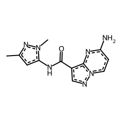 Cc1cc(NC(=O)c2cnn3ccc(N)nc23)n(C)n1